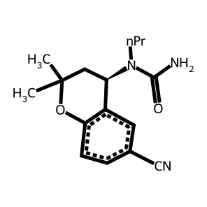 CCCN(C(N)=O)[C@@H]1CC(C)(C)Oc2ccc(C#N)cc21